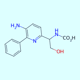 Nc1ccc(C(CO)NC(=O)O)nc1-c1ccccc1